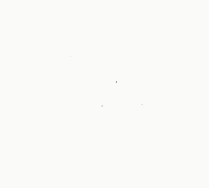 CCc1ccc2nc(CC)c(C(=O)O)c(Nc3ccc(OC)cc3)c2n1